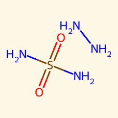 NN.NS(N)(=O)=O